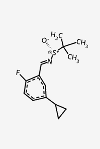 CC(C)(C)[S@@+]([O-])N=Cc1cc(C2CC2)ccc1F